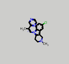 C/C(=C/n1c2c(c3cc(Cl)ccc31)CN(C)CC2)c1cnccn1